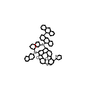 CC(C)c1ccc2oc3c(N(c4ccccc4)c4ccc5ccccc5c4)cc4c(N(c5ccccc5)c5c6ccccc6cc6c(-c7c8ccccc8cc8ccccc78)cccc56)cc5ccc6c(oc7cccc(-c8ccccn8)c76)c5c4c3c2c1